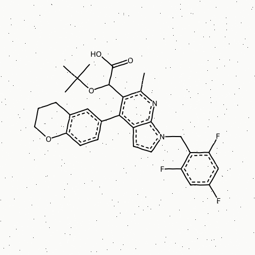 Cc1nc2c(ccn2Cc2c(F)cc(F)cc2F)c(-c2ccc3c(c2)CCCO3)c1C(OC(C)(C)C)C(=O)O